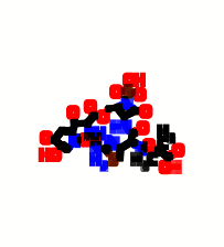 CC(C)(O/N=C(\C(=O)N[C@@H]1C(=O)N(S(=O)(=O)O)[C@@H]1COC(=O)C(N)C(=O)c1cc(=O)c(O)cn1O)c1csc(N)n1)C(=O)O